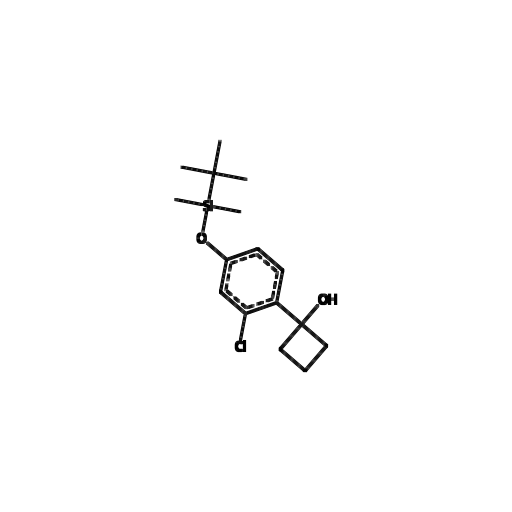 CC(C)(C)[Si](C)(C)Oc1ccc(C2(O)CCC2)c(Cl)c1